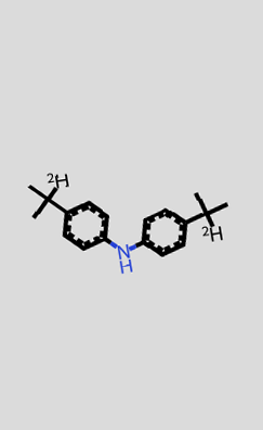 [2H]C(C)(C)c1ccc(Nc2ccc(C([2H])(C)C)cc2)cc1